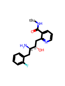 CC(C)(C)NC(=O)c1cccnc1C[C@H](O)[C@H](N)Cc1ccccc1F